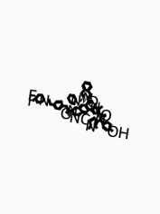 Cc1c(N(C(=O)c2cc(-c3cc4c(cc3C(=O)N3Cc5ccccc5C[C@H]3CN3CCCCC3)CN(C(=O)Cc3ccc(CCN5CCC(F)(F)CC5)cc3)CC4)n(C)c2C)c2ccc(O)cc2)cc(C#N)n1C